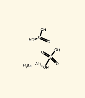 O=S(=O)(O)O.O=[Si](O)O.[AlH3].[BaH2]